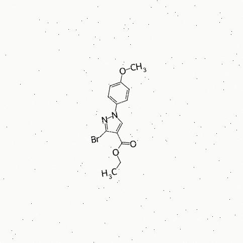 CCOC(=O)c1cn(-c2ccc(OC)cc2)nc1Br